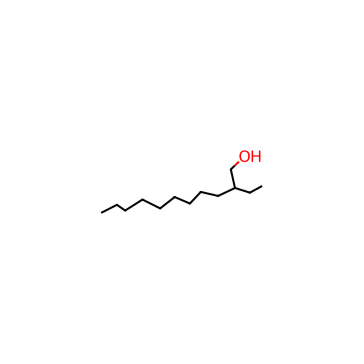 CCCCCCCCCC(CC)CO